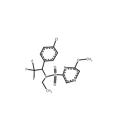 CCN(C(c1ccc(Cl)cc1)C(F)(F)F)S(=O)(=O)c1cncc(OC)n1